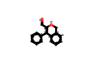 O=CC1=C(c2ccccc2)c2ccccc2CO1